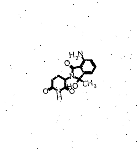 CC1(O)c2cccc(N)c2C(=O)N1C1CCC(=O)NC1=O